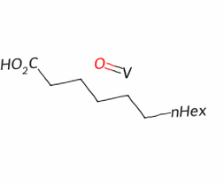 CCCCCCCCCCCC(=O)O.[O]=[V]